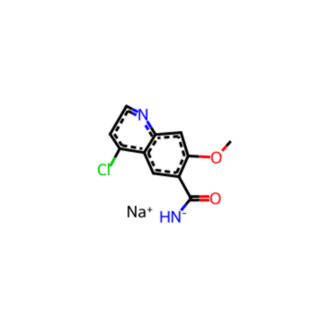 COc1cc2nccc(Cl)c2cc1C([NH-])=O.[Na+]